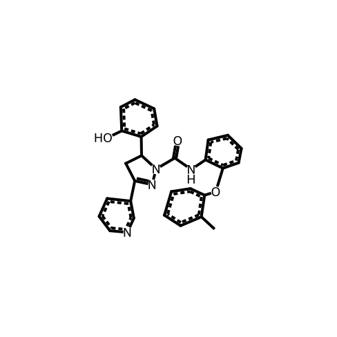 Cc1ccccc1Oc1ccccc1NC(=O)N1N=C(c2cccnc2)CC1c1ccccc1O